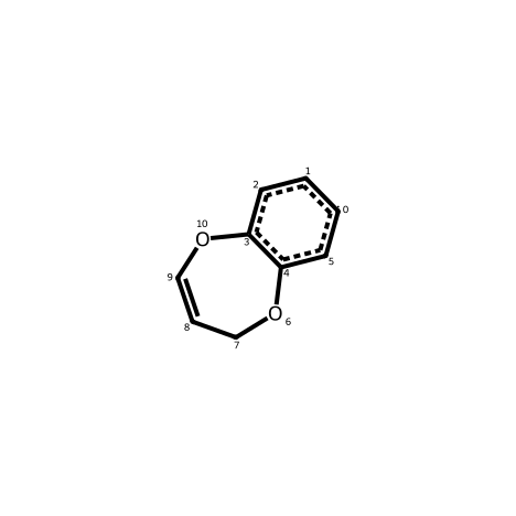 [c]1ccc2c(c1)OCC=CO2